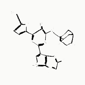 N#Cc1ccc(-c2nc(-c3c[nH]c4ncc(Cl)nc34)nc(NC3CC4CCC3CC4)c2F)s1